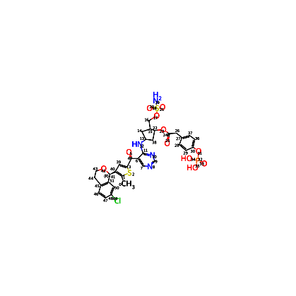 Cc1sc(C(=O)c2cncnc2NC2CC(COS(N)(=O)=O)C(OC(=O)Cc3ccc(OP(=O)(O)O)cc3)C2)cc1[C@@H]1OCCc2ccc(Cl)cc21